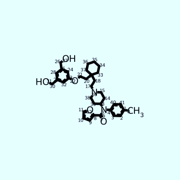 Cc1ccc(N(C(=O)c2ccco2)C2CCN(CCC3(CCOc4cc(CO)cc(CO)c4)CCCCC3)CC2)cc1